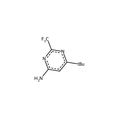 CC(C)(C)c1cc(N)nc(C(F)(F)F)n1